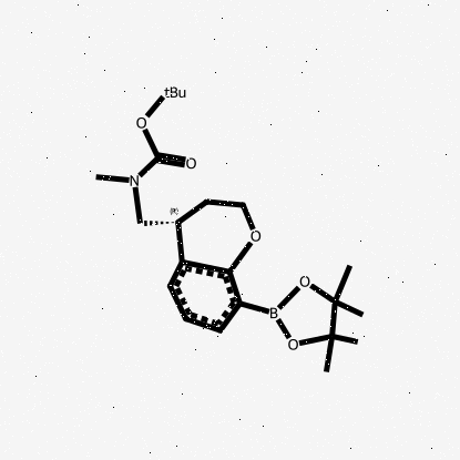 CN(C[C@@H]1CCOc2c(B3OC(C)(C)C(C)(C)O3)cccc21)C(=O)OC(C)(C)C